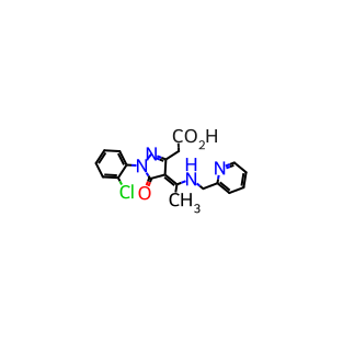 C/C(NCc1ccccn1)=C1\C(=O)N(c2ccccc2Cl)N=C1CC(=O)O